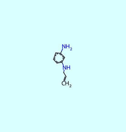 C=CCNc1cccc(N)c1